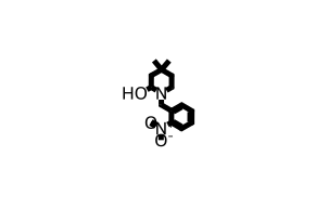 CC1(C)CCN(Cc2ccccc2[N+](=O)[O-])C(O)C1